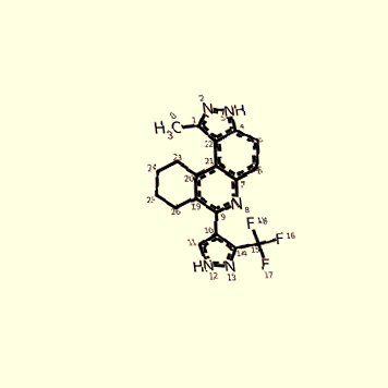 Cc1n[nH]c2ccc3nc(-c4c[nH]nc4C(F)(F)F)c4c(c3c12)CCCC4